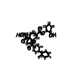 Cc1ccccc1C1CCN(S(=O)(=O)CC2(C(=O)NO)CCN(C(=O)O[C@@H]3CCC[C@H]3O)CC2)CC1